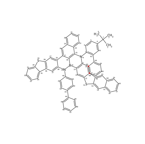 CC(C)(C)c1ccc(N2c3cc4c(cc3B3c5c(cc6ccccc6c52)-c2cc5sc6ccccc6c5cc2N3c2ccc(-c3ccccc3)cc2)sc2cc3ccccc3cc24)c(-c2ccccc2)c1